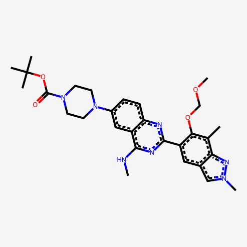 CNc1nc(-c2cc3cn(C)nc3c(C)c2OCOC)nc2ccc(N3CCN(C(=O)OC(C)(C)C)CC3)cc12